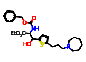 CCOC(=O)C(NC(=O)OCc1ccccc1)C(O)c1ccc(CCCN2CCCCCC2)s1